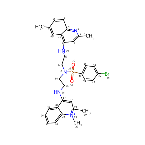 Cc1ccc2nc(C)cc(NCCN(CCNc3cc(C)[n+](C)c4ccccc34)S(=O)(=O)c3ccc(Br)cc3)c2c1